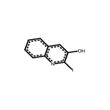 Oc1cc2ccccc2nc1I